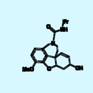 COc1ccc2c3c1OC1CC(O)C=CC31CCN(C(=O)NC(C)C)C2